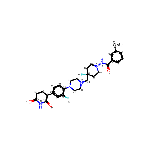 COc1cccc(C(=O)NN2CCC(F)(CN3CCN(c4ccc(C5CCC(=O)NC5=O)cc4F)CC3)CC2)c1